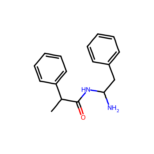 CC(C(=O)NC(N)Cc1ccccc1)c1ccccc1